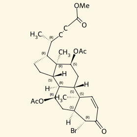 COC(=O)CC[C@@H](C)[C@H]1CC[C@H]2[C@@H]3[C@H](OC(C)=O)C[C@@H]4[C@@H](Br)C(=O)C=C[C@]4(C)[C@H]3C[C@H](OC(C)=O)[C@]12C